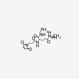 CPNC(=O)CCC(NC(=O)CCN1C(=O)C=CC1=O)C(=O)NCP